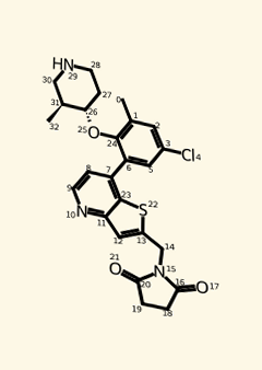 Cc1cc(Cl)cc(-c2ccnc3cc(CN4C(=O)CCC4=O)sc23)c1O[C@H]1CCNC[C@@H]1C